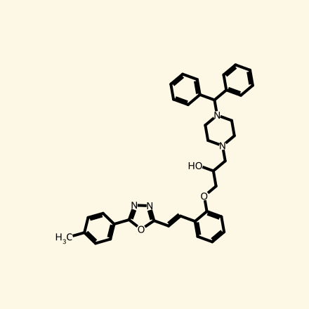 Cc1ccc(-c2nnc(/C=C/c3ccccc3OCC(O)CN3CCN(C(c4ccccc4)c4ccccc4)CC3)o2)cc1